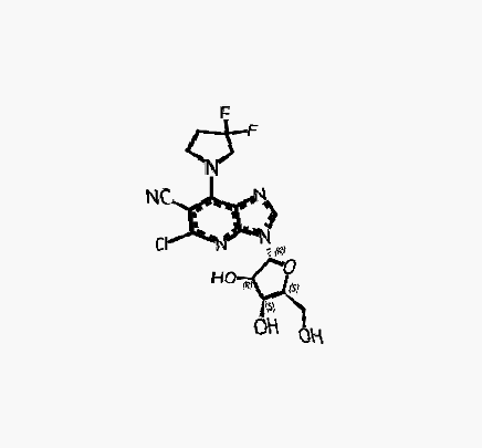 N#Cc1c(Cl)nc2c(ncn2[C@@H]2O[C@@H](CO)[C@@H](O)[C@H]2O)c1N1CCC(F)(F)C1